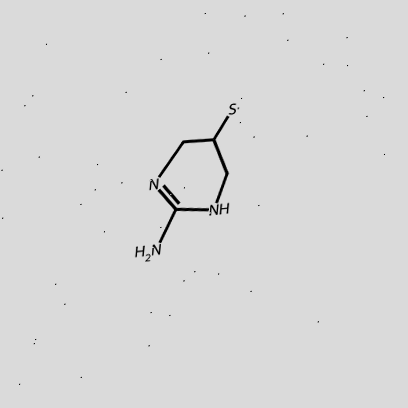 NC1=NCC([S])CN1